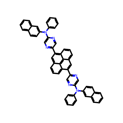 c1ccc(N(c2ccc3ccccc3c2)c2cnc(-c3cc4cccc5c(-c6cnc(N(c7ccccc7)c7ccc8ccccc8c7)cn6)cc6cccc3c6c45)cn2)cc1